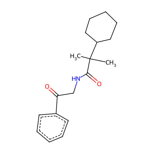 CC(C)(C(=O)NCC(=O)c1ccccc1)C1CCCCC1